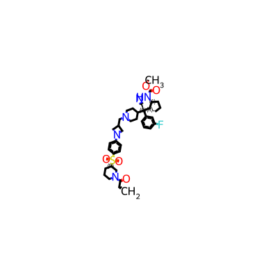 C=CC(=O)N1CCC[C@@H](S(=O)(=O)c2ccc(N3CC(CN4CCC([C@@](C#N)(c5cccc(F)c5)[C@H]5CCC[C@@H]5NC(=O)OC)CC4)C3)cc2)C1